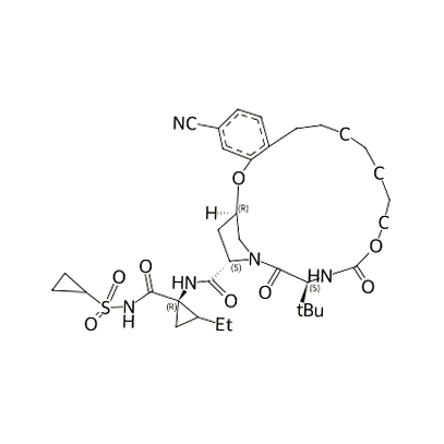 CCC1C[C@]1(NC(=O)[C@@H]1C[C@@H]2CN1C(=O)[C@H](C(C)(C)C)NC(=O)OCCCCCCCc1ccc(C#N)cc1O2)C(=O)NS(=O)(=O)C1CC1